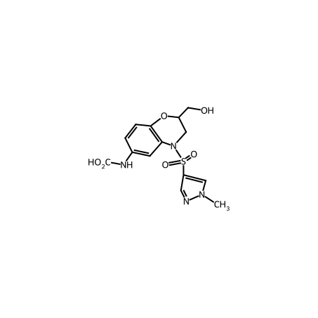 Cn1cc(S(=O)(=O)N2CC(CO)Oc3ccc(NC(=O)O)cc32)cn1